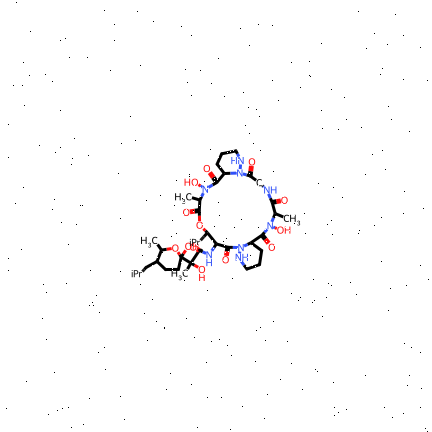 CC(C)CC1CCC(O)(C(C)(O)C(=O)NC2C(=O)N3NCCCC3C(=O)N(O)C(C)C(=O)NCC(=O)N3NCCCC3C(=O)N(O)C(C)C(=O)OC2C(C)C)OC1C